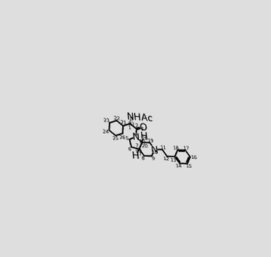 CC(=O)N[C@H](C(=O)N1CC[C@H]2CCN(CCc3ccccc3)C[C@H]21)C1CCCCC1